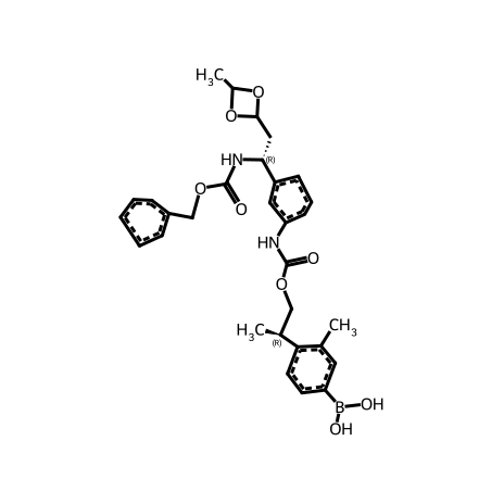 Cc1cc(B(O)O)ccc1[C@@H](C)COC(=O)Nc1cccc([C@@H](CC2OC(C)O2)NC(=O)OCc2ccccc2)c1